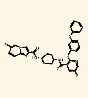 O=C(N[C@H]1CC[C@@H](NC(=O)c2cc(F)cnc2Nc2cccc(Sc3ccccc3)c2)CC1)c1cn2cc(F)ccc2n1